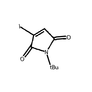 CC(C)(C)N1C(=O)C=C(I)C1=O